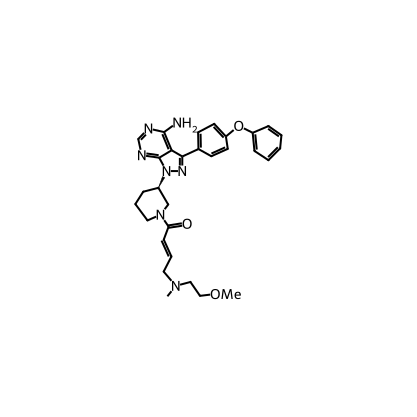 COCCN(C)CC=CC(=O)N1CCC[C@@H](n2nc(-c3ccc(Oc4ccccc4)cc3)c3c(N)ncnc32)C1